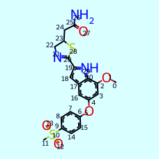 COc1cc(Oc2ccc(S(C)(=O)=O)cc2)cc2cc(C3=NCC(CC(N)=O)S3)[nH]c12